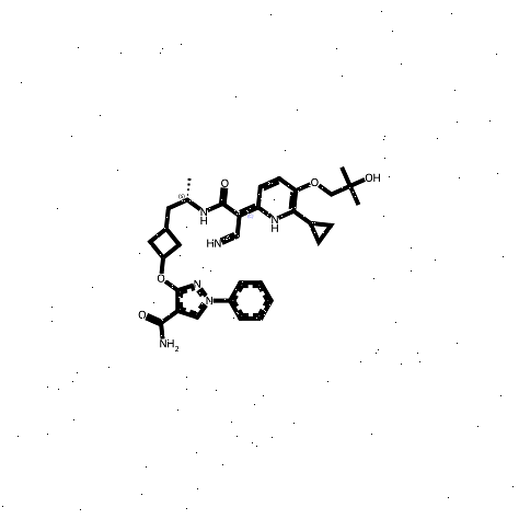 C[C@@H](CC1CC(Oc2nn(-c3ccccc3)cc2C(N)=O)C1)NC(=O)/C(C=N)=C1\C=CC(OCC(C)(C)O)=C(C2CC2)N1